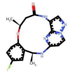 C[C@@H]1Nc2ccn3ncc(c3n2)NC(=O)C[C@H](C)Oc2ccc(F)cc21